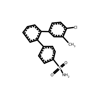 Cc1cc(-c2ccccc2-c2ccc(S(N)(=O)=O)cc2)ccc1Cl